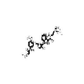 C=CC(=O)Nc1ccc(OC)c(Nc2ncc(Cl)c(Nc3ccccc3C(=O)C(=O)N(C)CCN(C)C)n2)c1